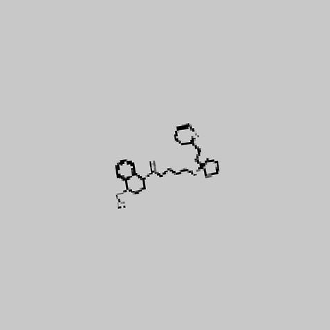 CCO[C@@H]1CC[C@H](NCCCCOC2(CCC3=NC=CCC3)CCCC2)c2ccccc21